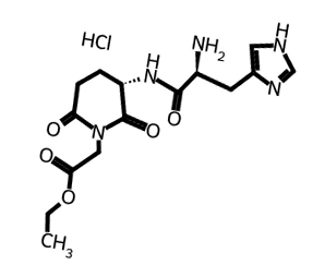 CCOC(=O)CN1C(=O)CC[C@H](NC(=O)[C@@H](N)Cc2c[nH]cn2)C1=O.Cl